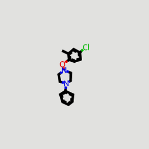 Cc1cc(Cl)ccc1ON1CCN(c2ccccc2)CC1